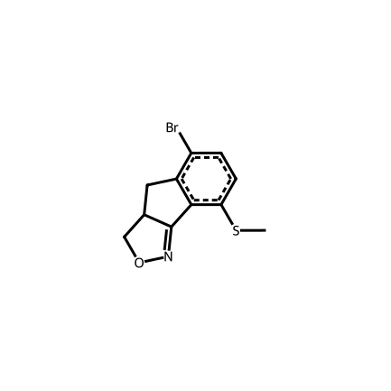 CSc1ccc(Br)c2c1C1=NOCC1C2